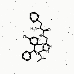 CN(C)Cc1nnc(CNC(=O)[C@@H](N)Cc2ccccc2)n1-c1ccc(Cl)cc1C(=O)c1ccccc1